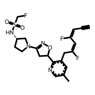 C#C/C=C(F)\C=C(\F)Cc1cc(C)cnc1C1CC(N2CC[C@H](NS(=O)(=O)CF)C2)=NO1